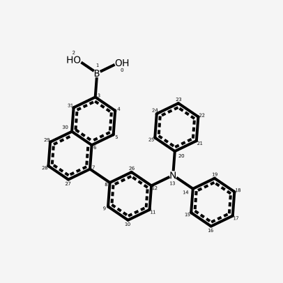 OB(O)c1ccc2c(-c3cccc(N(c4ccccc4)c4ccccc4)c3)cccc2c1